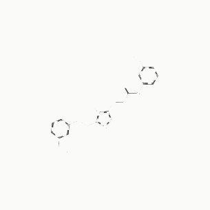 CCn1c(COc2cccc(C)c2)nnc1SCC(=O)Nc1cccc(C(C)=O)c1